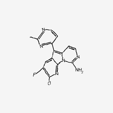 Cc1nccc(-c2c3cc(F)c(Cl)nc3n3c(N)nccc23)n1